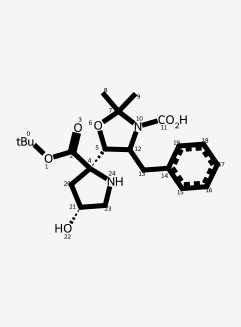 CC(C)(C)OC(=O)[C@]1(C2OC(C)(C)N(C(=O)O)C2Cc2ccccc2)C[C@@H](O)CN1